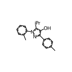 Cc1ccc(-c2nn(-c3ccccc3C)c(C(C)C)c2O)cc1